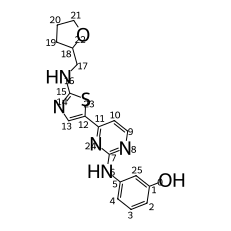 Oc1cccc(Nc2nccc(-c3cnc(NCC4CCCO4)s3)n2)c1